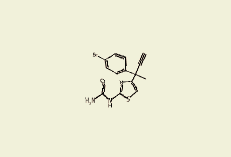 C#CC(C)(c1ccc(Br)cc1)c1csc(NC(N)=O)n1